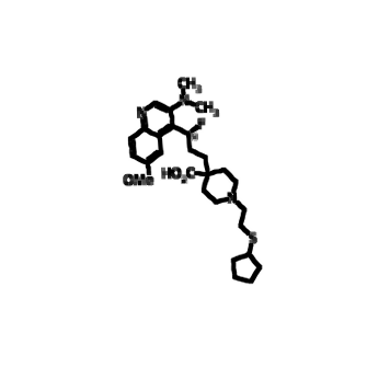 COc1ccc2ncc(N(C)C)c([C@@H](F)CCC3(C(=O)O)CCN(CCSC4CCCC4)CC3)c2c1